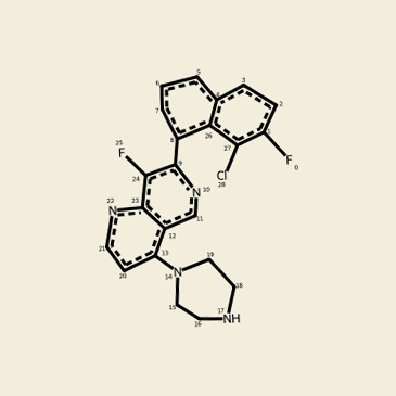 Fc1ccc2cccc(-c3ncc4c(N5CCNCC5)ccnc4c3F)c2c1Cl